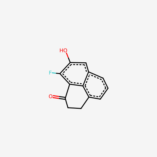 O=C1CCc2cccc3cc(O)c(F)c1c23